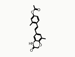 CC(=O)Oc1ccc(C=Cc2cc(C)c3c(c2)NC(=O)CO3)c(C)c1